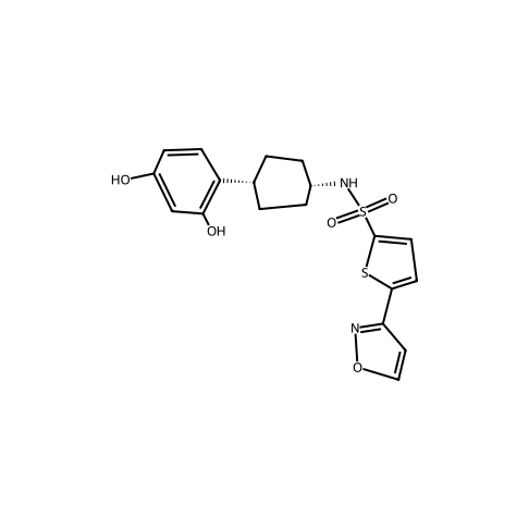 O=S(=O)(N[C@H]1CC[C@@H](c2ccc(O)cc2O)CC1)c1ccc(-c2ccon2)s1